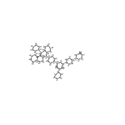 c1ccc(-c2nc(-c3ccc(-c4cccnc4)cc3)cc(-c3ccc(-c4c5ccccc5c(-c5ccccc5)c5c4ccc4ccccc45)cc3)n2)cc1